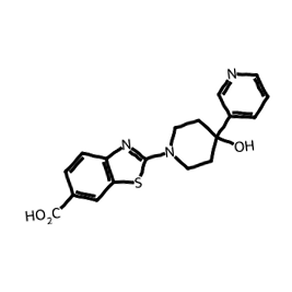 O=C(O)c1ccc2nc(N3CCC(O)(c4cccnc4)CC3)sc2c1